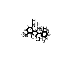 CCC(/C(NC)=C1/C(=N)CCC(C=O)=C1Cl)c1ccccc1